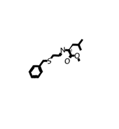 COC(=O)[C@H](CC(C)C)N=CCSCc1ccccc1